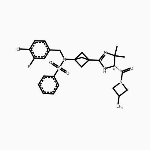 CC1(C)N=C(C23CC(N(Cc4ccc(Cl)c(F)c4)S(=O)(=O)c4ccccc4)(C2)C3)N[C@H]1C(=O)N1CC(C(F)(F)F)C1